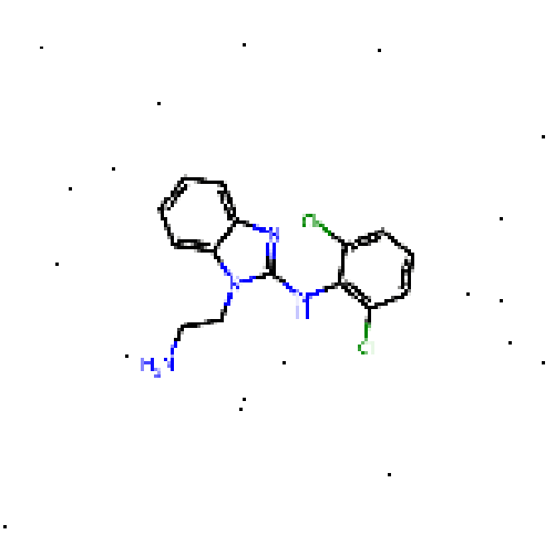 NCCn1c(Nc2c(Cl)cccc2Cl)nc2ccccc21